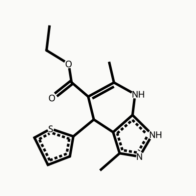 CCOC(=O)C1=C(C)Nc2[nH]nc(C)c2C1c1cccs1